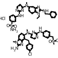 CCn1c(NCc2ccccc2)nc2cc(N(C)c3ccnc(Nc4cccc(S(N)(=O)=O)c4)n3)ccc21.CN(c1ccnc(Nc2ccc(CS(C)(=O)=O)cc2)n1)c1ccc2c(nc(N)n2C)c1Cc1ccc(Cl)cc1.Cl